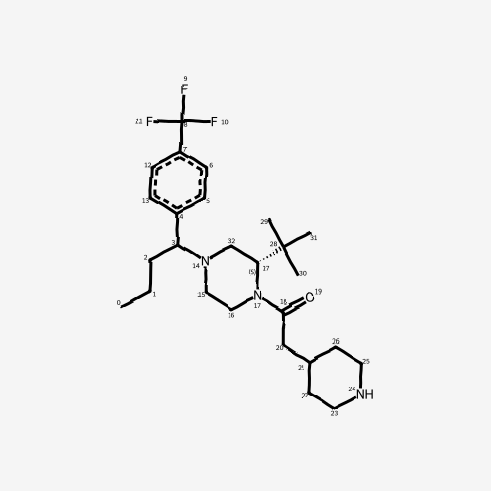 CCCC(c1ccc(C(F)(F)F)cc1)N1CCN(C(=O)CC2CCNCC2)[C@@H](C(C)(C)C)C1